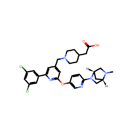 CN1C[C@@H]2C[C@H]1CN2c1ccc(Oc2cc(CN3CCC(CC(=O)O)CC3)cc(-c3cc(Cl)cc(Cl)c3)n2)cn1